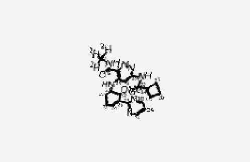 [2H]C([2H])([2H])NC(=O)c1nnc(NC(=O)C2CCC2)cc1Nc1cccc(-c2ncccn2)c1OC